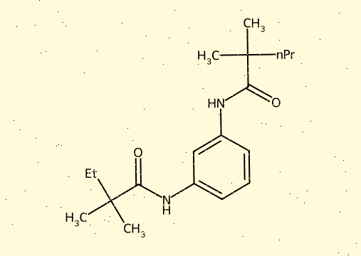 CCCC(C)(C)C(=O)Nc1cccc(NC(=O)C(C)(C)CC)c1